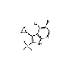 C[Si](C)(C)c1[nH]c2ncc(Br)c(Cl)c2c1C1CC1